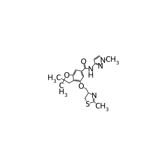 CC1=NC(COc2cc(C(=O)Nc3ccn(C)n3)cc3c2CC(C)(C)O3)CS1